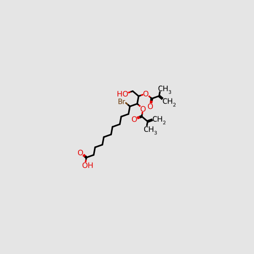 C=C(C)C(=O)OC(CO)C(OC(=O)C(=C)C)C(Br)CCCCCCCCCC(=O)O